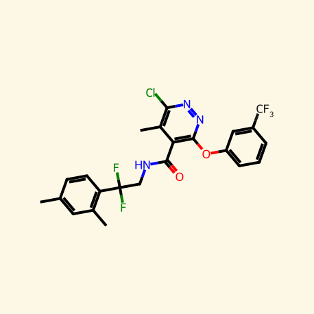 Cc1ccc(C(F)(F)CNC(=O)c2c(Oc3cccc(C(F)(F)F)c3)nnc(Cl)c2C)c(C)c1